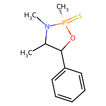 CC1C(c2ccccc2)O[P@](C)(=S)N1C